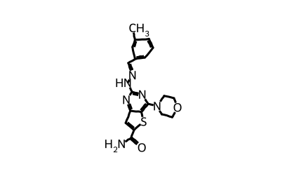 Cc1cccc(/C=N/Nc2nc(N3CCOCC3)c3sc(C(N)=O)cc3n2)c1